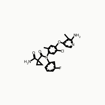 Cc1cc(Oc2ccnc(N)c2C)c(Cl)cc1N(C(=O)C1(C(N)=O)CC1)c1cccc(F)c1